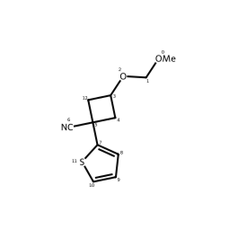 COCOC1CC(C#N)(c2cccs2)C1